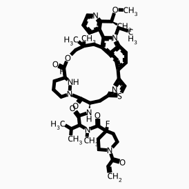 C=CC(=O)N1CCC(F)(C(=O)N(C)C(C(=O)N[C@H]2Cc3nc(cs3)-c3ccc4c(c3)c(c(-c3cccnc3[C@H](C)OC)n4CC)CC(C)(C)COC(=O)[C@@H]3CCCN(N3)C2=O)C(C)C)CC1